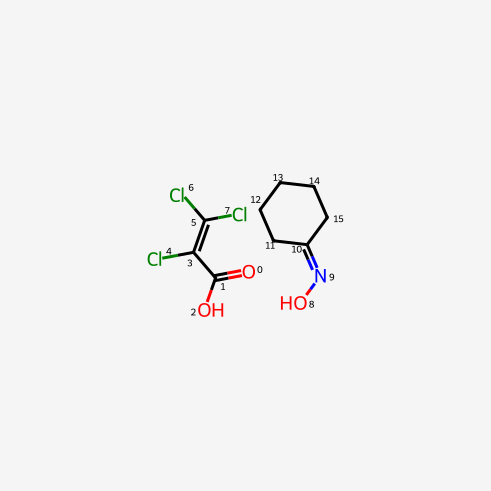 O=C(O)C(Cl)=C(Cl)Cl.ON=C1CCCCC1